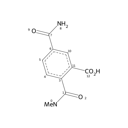 CNC(=O)c1ccc(C(N)=O)cc1C(=O)O